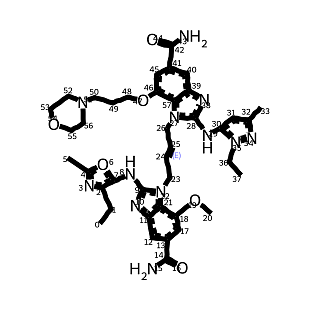 CCc1nc(C)oc1Nc1nc2cc(C(N)=O)cc(OC)c2n1C/C=C/Cn1c(Nc2cc(C)nn2CC)nc2cc(C(N)=O)cc(OCCCN3CCOCC3)c21